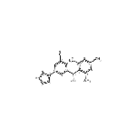 Cc1cc(C)c(C(O)c2cc(Cl)cc(-n3ccnc3)c2)c(C)c1